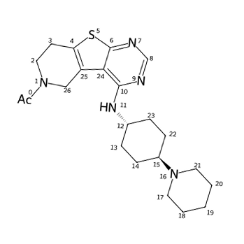 CC(=O)N1CCc2sc3ncnc(N[C@H]4CC[C@H](N5CCCCC5)CC4)c3c2C1